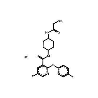 Cl.NCC(=O)NC1CCC(NC(=O)c2cc(F)cnc2Oc2ccc(F)cc2)CC1